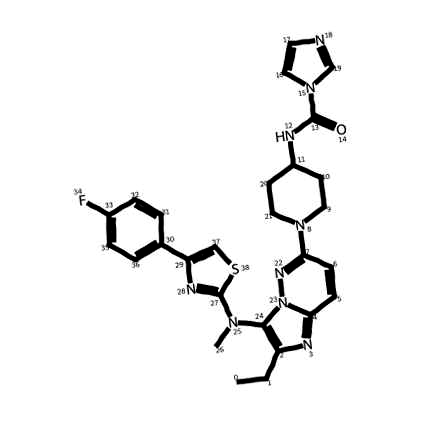 CCc1nc2ccc(N3CCC(NC(=O)n4ccnc4)CC3)nn2c1N(C)c1nc(-c2ccc(F)cc2)cs1